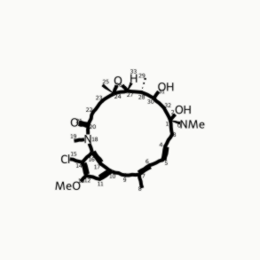 CN[C@@]1(O)C/C=C/C=C(\C)Cc2cc(OC)c(Cl)c(c2)N(C)C(=O)CC[C@]2(C)O[C@@H]2[C@H](C)C(O)C1